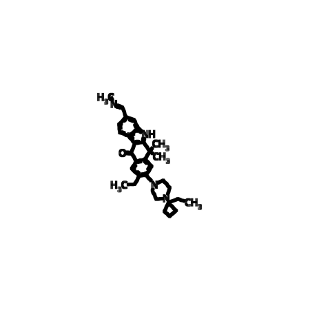 CCc1cc2c(cc1N1CCN(C3(CC)CCC3)CC1)C(C)(C)c1[nH]c3cc(/C=N/C)ccc3c1C2=O